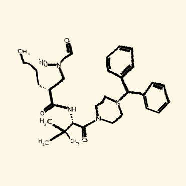 CCCC[C@H](CN(O)C=O)C(=O)N[C@H](C(=O)N1CCN(C(c2ccccc2)c2ccccc2)CC1)C(C)(C)C